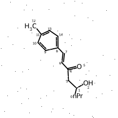 CCCC(O)CC(=O)/C=C/c1ccc(C)cc1